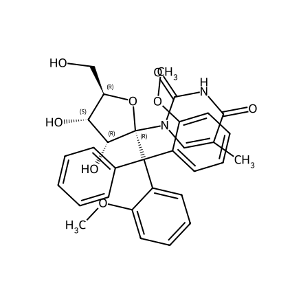 COc1ccccc1C(c1ccccc1)(c1ccccc1OC)[C@@]1(n2cc(C)c(=O)[nH]c2=O)O[C@H](CO)[C@@H](O)[C@H]1O